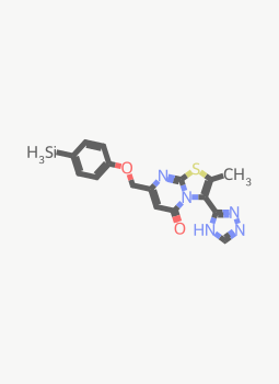 Cc1sc2nc(COc3ccc([SiH3])cc3)cc(=O)n2c1-c1nnc[nH]1